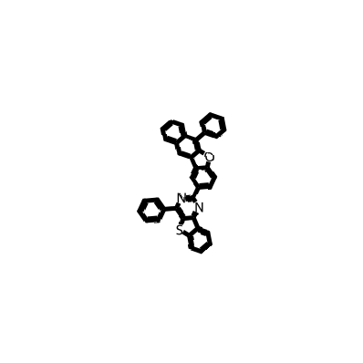 c1ccc(-c2c3ccccc3cc3c2oc2ccc(-c4nc(-c5ccccc5)c5sc6ccccc6c5n4)cc23)cc1